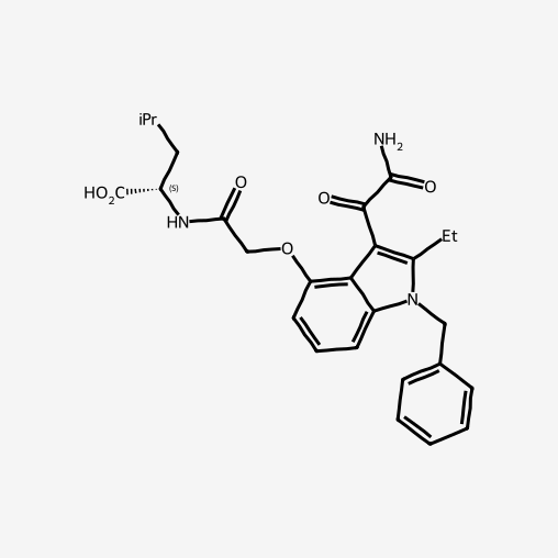 CCc1c(C(=O)C(N)=O)c2c(OCC(=O)N[C@@H](CC(C)C)C(=O)O)cccc2n1Cc1ccccc1